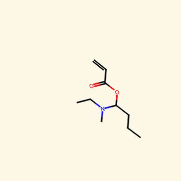 C=CC(=O)OC(CCC)N(C)CC